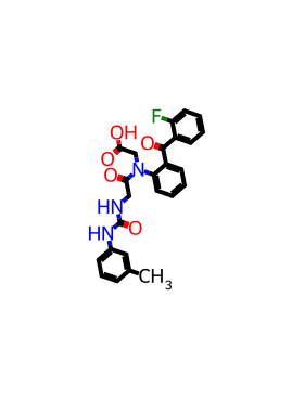 Cc1cccc(NC(=O)NCC(=O)N(CC(=O)O)c2ccccc2C(=O)c2ccccc2F)c1